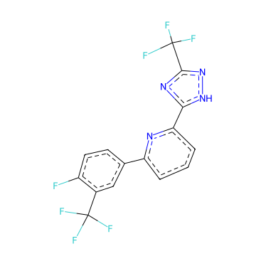 Fc1ccc(-c2cccc(-c3nc(C(F)(F)F)n[nH]3)n2)cc1C(F)(F)F